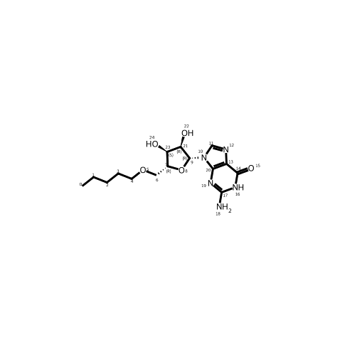 CCCCCOC[C@H]1O[C@@H](n2cnc3c(=O)[nH]c(N)nc32)[C@H](O)[C@@H]1O